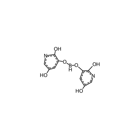 Oc1cnc(O)c(OBOc2cc(O)cnc2O)c1